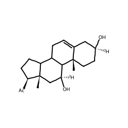 [2H][C@]1(O)CC[C@@]2(C)C(=CCC3C2[C@@]([2H])(O)C[C@@]2(C)C3CC[C@@H]2C(C)=O)C1